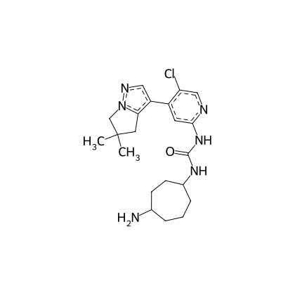 CC1(C)Cc2c(-c3cc(NC(=O)NC4CCCC(N)CC4)ncc3Cl)cnn2C1